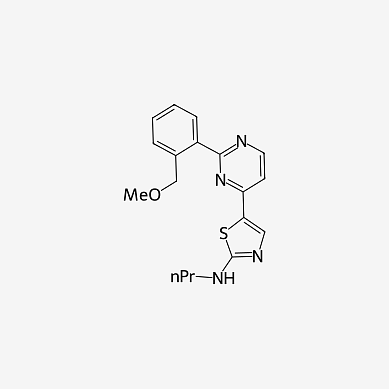 CCCNc1ncc(-c2ccnc(-c3ccccc3COC)n2)s1